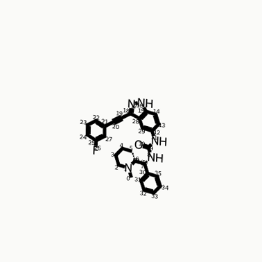 CN1CCCC[C@@H]1[C@H](NC(=O)Nc1ccc2[nH]nc(C#Cc3cccc(F)c3)c2c1)c1ccccc1